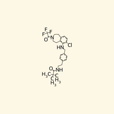 CC(C)(C)C(=O)NCCc1ccc(CNc2c(Cl)ccc3c2CCN(C(=O)C(F)(F)F)CC3)cc1